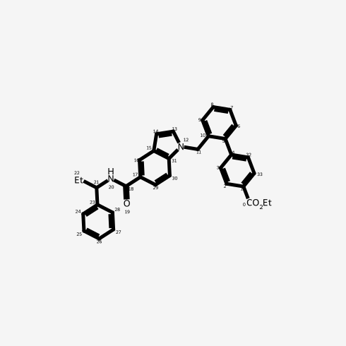 CCOC(=O)c1ccc(-c2ccccc2Cn2ccc3cc(C(=O)NC(CC)c4ccccc4)ccc32)cc1